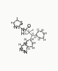 CC(C)(C(=O)Nc1nccs1)C(c1ccccc1)c1ccc2nncn2c1